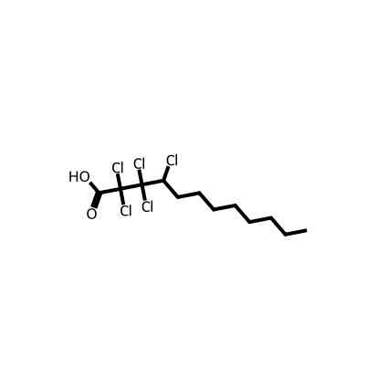 CCCCCCCCC(Cl)C(Cl)(Cl)C(Cl)(Cl)C(=O)O